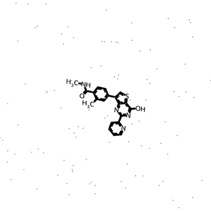 CNC(=O)c1ccc(-c2csc3c(O)nc(-c4ccccn4)nc23)cc1C